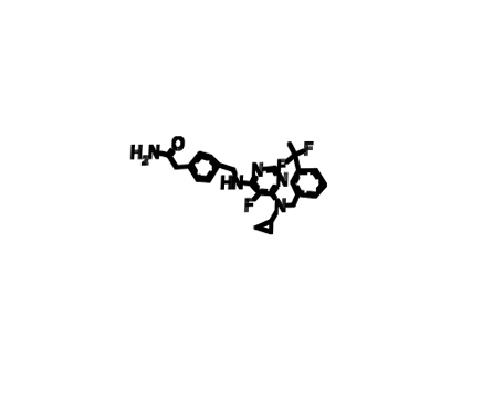 CC(F)(F)c1cccc(CN(c2ncnc(NCc3ccc(CC(N)=O)cc3)c2F)C2CC2)c1